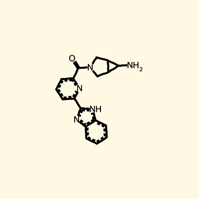 NC1C2CN(C(=O)c3cccc(-c4nc5ccccc5[nH]4)n3)CC12